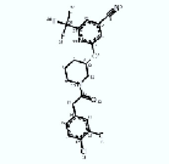 N#Cc1cc(O[C@H]2CCCN(C(=O)Cc3ccc(Cl)c(Cl)c3)C2)nc(C(F)(F)F)c1